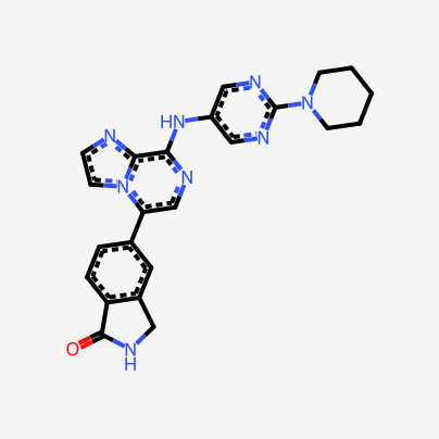 O=C1NCc2cc(-c3cnc(Nc4cnc(N5CCCCC5)nc4)c4nccn34)ccc21